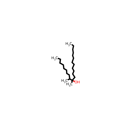 CCCCCCCCCCCCC(C)(O)C(C)CCCCCCCC